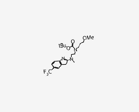 COCCCN(CCN(C)C1=Nc2ccc(C(F)(F)F)cc2C1)C(=O)OC(C)(C)C